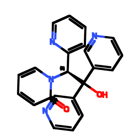 O=c1ccccn1[C@@H](c1ccccn1)C(O)(c1cccnc1)c1cccnc1